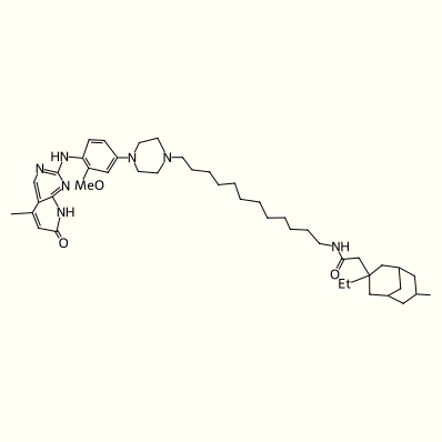 CCC1(CC(=O)NCCCCCCCCCCCCN2CCN(c3ccc(Nc4ncc5c(C)cc(=O)[nH]c5n4)c(OC)c3)CC2)CC2CC(C)CC(C2)C1